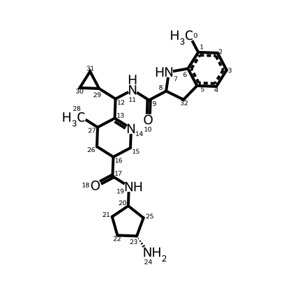 Cc1cccc2c1NC(C(=O)NC(C1=NCC(C(=O)NC3CC[C@@H](N)C3)CC1C)C1CC1)C2